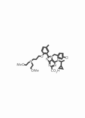 COCCN(CCCOc1ccc(C)cc1-c1nc2nc(C(=O)O)nc(NC(C)C3CC3)c2n1Cc1ccc(Cl)cc1)CCOC